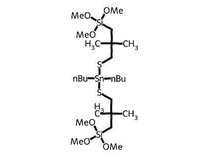 CCC[CH2][Sn]([CH2]CCC)([S]CC(C)(C)C[Si](OC)(OC)OC)[S]CC(C)(C)C[Si](OC)(OC)OC